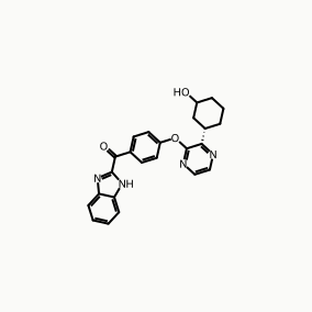 O=C(c1ccc(Oc2nccnc2[C@H]2CCCC(O)C2)cc1)c1nc2ccccc2[nH]1